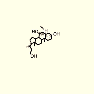 CC[C@H]1[C@@H](O)C2C3CC[C@H]([C@H](C)CCO)C3(C)CCC2C2(C)CC[C@H](O)C[C@@H]12